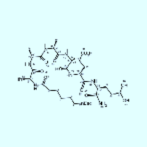 CCCCCCCCCCCCCCCC(=O)N[C@H](C(=O)N[C@@H](C)C(=O)N[C@@H](C)C(=O)N[C@@H](C)C(=O)N[C@@H](CCC(=O)O)C(=O)N[C@@H](CCC(O)O)C(N)=O)C(C)C